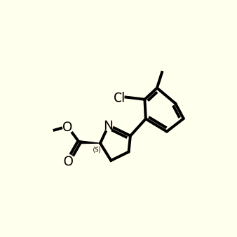 COC(=O)[C@@H]1CCC(c2cccc(C)c2Cl)=N1